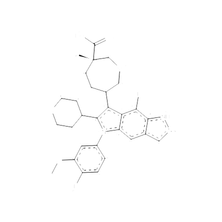 COc1cc(-n2c(C3CCOCC3)c(C3CC[C@](C)(C(=O)O)COC3)c3c(F)c4[nH]ncc4cc32)ccc1F